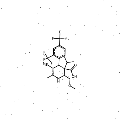 COCC1NC(C)=C(C#N)C(c2ccc(C(F)(F)F)cc2C(F)(F)F)C1(C(=O)O)C(C)C